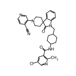 Cc1ncc(Cl)cc1C(=O)NC1CCC(CN2C(=O)C3(CCN(c4cnccc4C#N)CC3)c3ccccc32)CC1